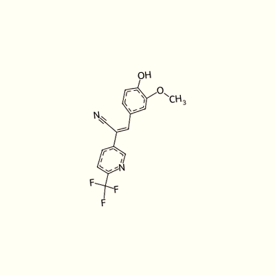 COc1cc(C=C(C#N)c2ccc(C(F)(F)F)nc2)ccc1O